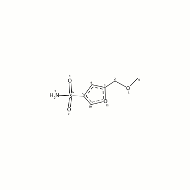 COCc1cc(S(N)(=O)=O)co1